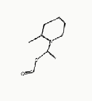 CC1CCCCN1C(C)OC=O